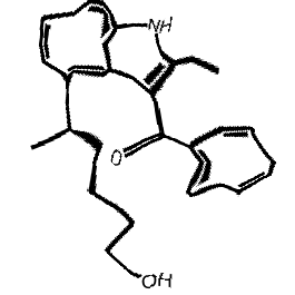 Cc1[nH]c2cccc(C(C)CCCCO)c2c1C(=O)c1ccccc1